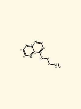 NCCSc1ccnc2ccccc12